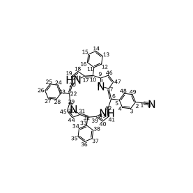 N#Cc1ccc(-c2c3nc(c(-c4ccccc4)c4ccc([nH]4)c(-c4ccccc4)c4nc(c(-c5ccccc5)c5ccc2[nH]5)C=C4)C=C3)cc1